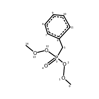 COOP(=O)(Cc1cc[c]cc1)OOC